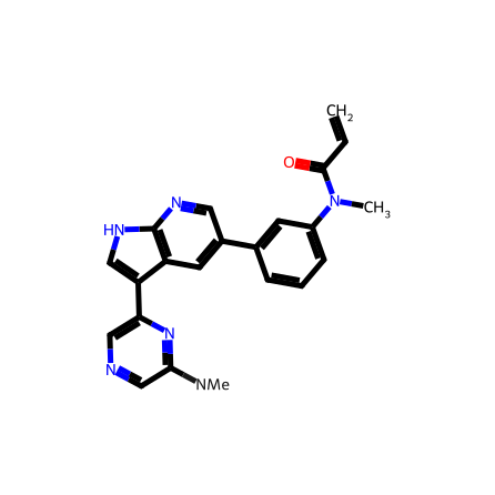 C=CC(=O)N(C)c1cccc(-c2cnc3[nH]cc(-c4cncc(NC)n4)c3c2)c1